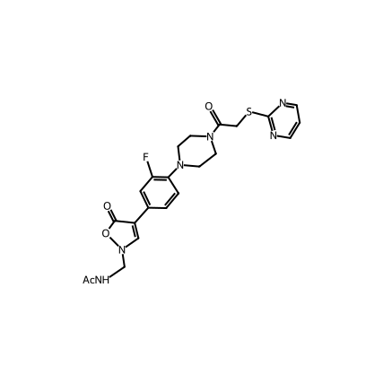 CC(=O)NCn1cc(-c2ccc(N3CCN(C(=O)CSc4ncccn4)CC3)c(F)c2)c(=O)o1